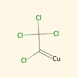 Cl[C](=[Cu])C(Cl)(Cl)Cl